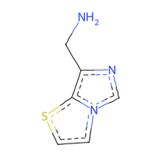 NCc1ncn2ccsc12